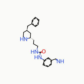 N=Cc1cccc(NC(=O)NCCC[C@H]2C[C@H](Cc3ccccc3)CCN2)c1